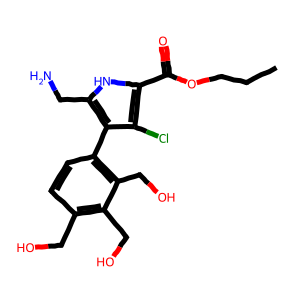 CCCOC(=O)c1[nH]c(CN)c(-c2ccc(CO)c(CO)c2CO)c1Cl